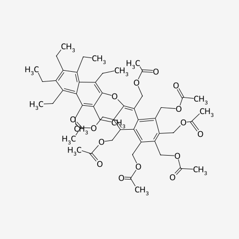 CCc1c(CC)c(CC)c2c(CC)c(Oc3c(COC(C)=O)c(COC(C)=O)c4c(COC(C)=O)c(COC(C)=O)c(COC(C)=O)c(COC(C)=O)c4c3COC(C)=O)c(CC)c(CC)c2c1CC